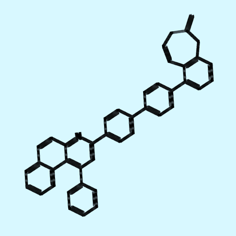 C=C1CC=Cc2c(cccc2-c2ccc(-c3ccc(-c4cc(-c5ccccc5)c5c(ccc6ccccc65)n4)cc3)cc2)C1